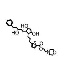 O=C(OCCN1CCOCC1)c1ccc(CCC[C@H]2[C@@H](CC[C@@H](O)CCc3ccccc3)[C@H](O)C[C@@H]2O)s1